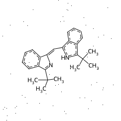 CC(C)(C)C1=N/C(=C\c2[nH]c(C(C)(C)C)c3ccccc23)c2ccccc21